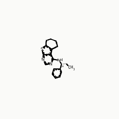 CC[C@@H](Nc1ncnc2sc3c(c12)CCCC3)c1ccccc1